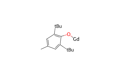 Cc1cc(C(C)(C)C)c([O][Gd])c(C(C)(C)C)c1